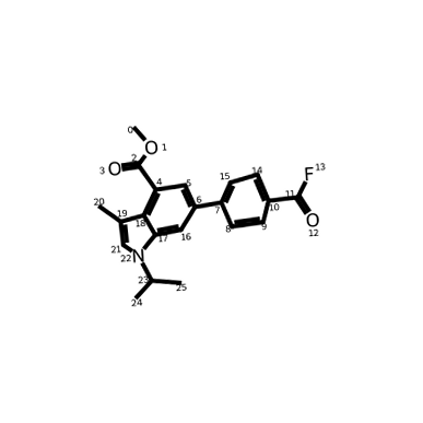 COC(=O)c1cc(-c2ccc(C(=O)F)cc2)cc2c1c(C)cn2C(C)C